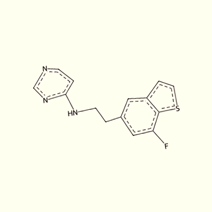 Fc1cc(CCNc2ccncn2)cc2ccsc12